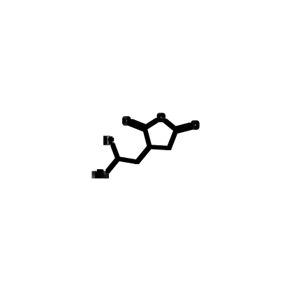 CCCCC(CC)CC1CC(=O)OC1=O